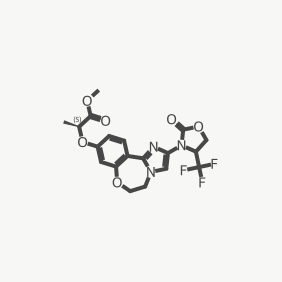 COC(=O)[C@H](C)Oc1ccc2c(c1)OCCn1cc(N3C(=O)OCC3C(F)(F)F)nc1-2